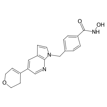 O=C(NO)c1ccc(Cn2ccc3cc(C4=CCOCC4)cnc32)cc1